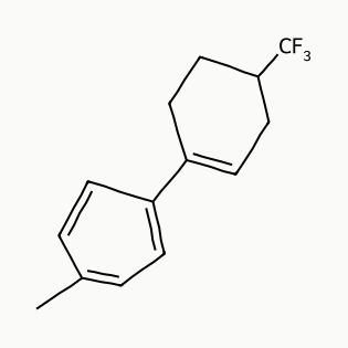 Cc1ccc(C2=CCC(C(F)(F)F)CC2)cc1